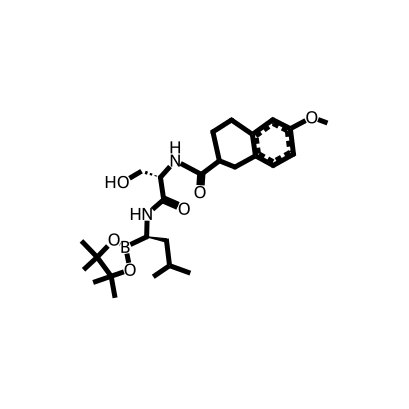 COc1ccc2c(c1)CCC(C(=O)N[C@@H](CO)C(=O)N[C@@H](CC(C)C)B1OC(C)(C)C(C)(C)O1)C2